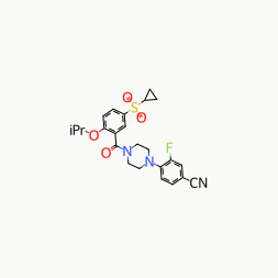 CC(C)Oc1ccc(S(=O)(=O)C2CC2)cc1C(=O)N1CCN(c2ccc(C#N)cc2F)CC1